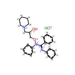 Cl.OC(CON(/C(=N/c1ccccc1)c1ccccc1)c1ccccc1)CN1CCCCC1